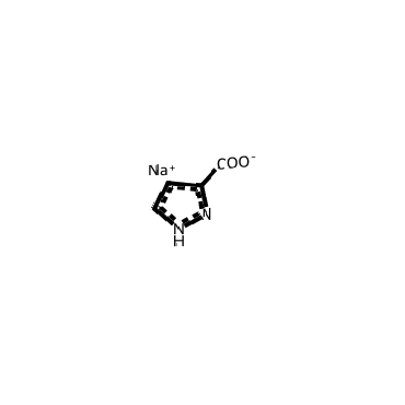 O=C([O-])c1cc[nH]n1.[Na+]